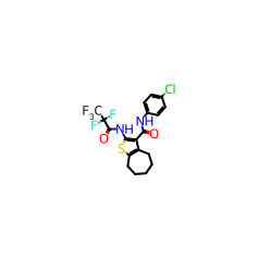 O=C(Nc1ccc(Cl)cc1)c1c(NC(=O)C(F)(F)C(F)(F)F)sc2c1CCCCC2